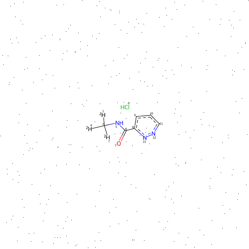 Cl.[2H]C([2H])([2H])NC(=O)c1cccnn1